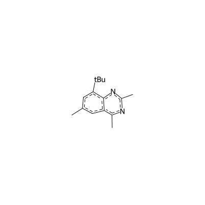 Cc1cc(C(C)(C)C)c2nc(C)nc(C)c2c1